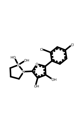 Oc1c(-c2ccc(Cl)cc2Cl)oc(N2CCCS2(O)O)c1O